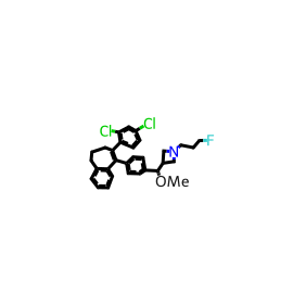 COC(c1ccc(C2=C(c3ccc(Cl)cc3Cl)CCCc3ccccc32)cc1)C1CN(CCCF)C1